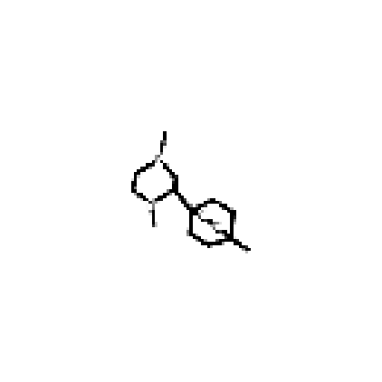 CN1CCN(I)CC1C12CCC(C)(CC1)CC2